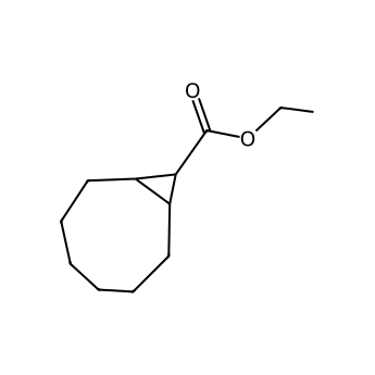 CCOC(=O)C1C2CCCCCCC21